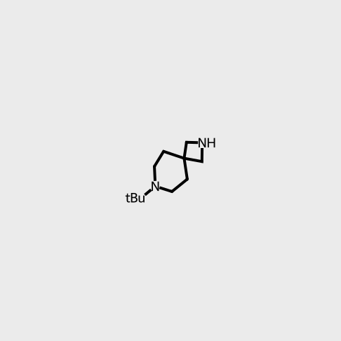 CC(C)(C)N1CCC2(CC1)CNC2